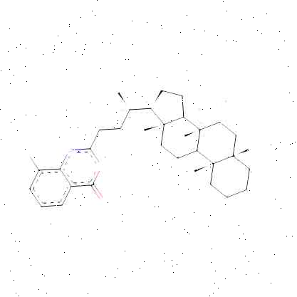 C[C@H](CCc1nc2c(F)cccc2c(=O)o1)[C@H]1CC[C@H]2[C@H]3C(CC[C@]12C)[C@@]1(C)CC[C@@H](O)C[C@H]1C[C@H]3O